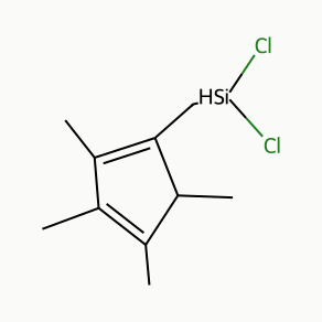 CC1=C(C)C(C)C(C[SiH](Cl)Cl)=C1C